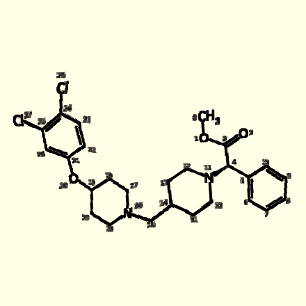 COC(=O)[C@@H](c1ccccc1)N1CCC(CN2CCC(Oc3ccc(Cl)c(Cl)c3)CC2)CC1